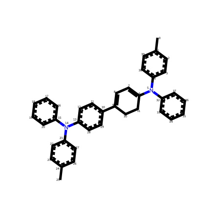 Cc1ccc(N(C2=CC=C(c3ccc(N(c4ccccc4)c4ccc(C)cc4)cc3)CC2)c2ccccc2)cc1